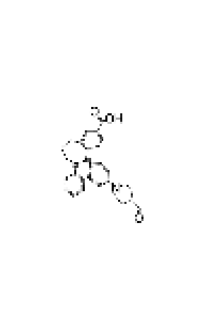 O=CC1CCN(c2ccc([C@@H]3c4ccc(C(=O)O)cc4CCC[C@@H]3c3ccccc3)cc2)CC1